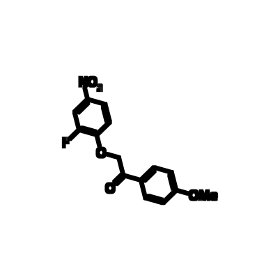 COc1ccc(C(=O)COc2ccc([N+](=O)[O-])cc2F)cc1